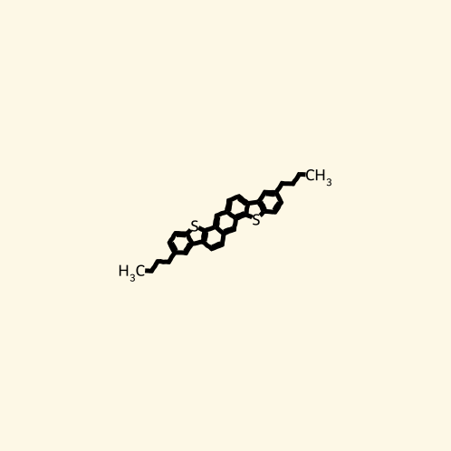 CCCCc1ccc2sc3c4cc5ccc6c7cc(CCCC)ccc7sc6c5cc4ccc3c2c1